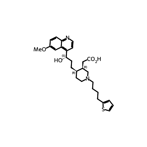 COc1ccc2nccc([C@@H](O)CC[C@@H]3CCN(CCCCc4cccs4)C[C@@H]3CC(=O)O)c2c1